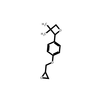 CC1(C)COC1c1ccc(OCC2CO2)cc1